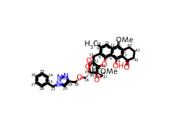 COc1c2c(c(O)c3c4c(c(C)cc13)C1O[C@]3(COCc5cn(Cc6ccccc6)nn5)O[C@H]1[C@@](OC)(O4)[C@@]31CO1)C(=O)CCC2